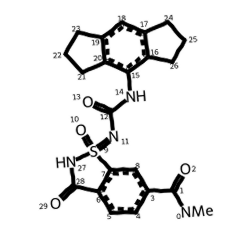 CNC(=O)c1ccc2c(c1)S(=O)(=NC(=O)Nc1c3c(cc4c1CCC4)CCC3)NC2=O